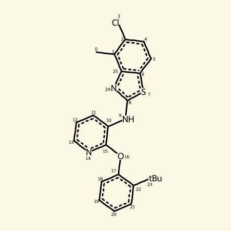 Cc1c(Cl)ccc2sc(Nc3cccnc3Oc3ccccc3C(C)(C)C)nc12